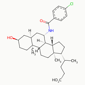 CC(CCC(=O)O)[C@H]1CC[C@H]2[C@@H]3[C@@H](NC(=O)c4ccc(Cl)cc4)C[C@@H]4C[C@H](O)CC[C@]4(C)[C@H]3CC[C@]12C